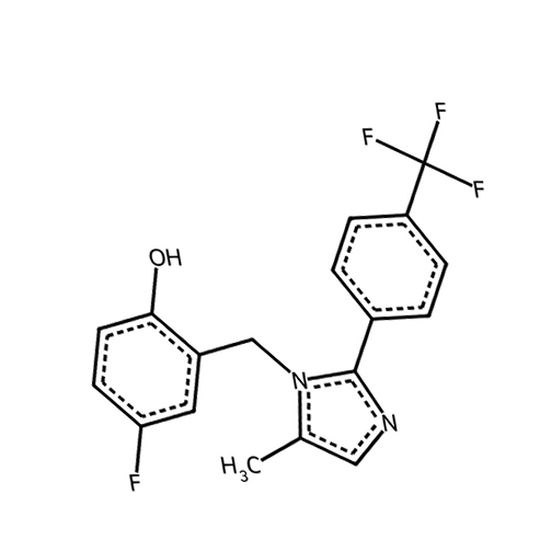 Cc1cnc(-c2ccc(C(F)(F)F)cc2)n1Cc1cc(F)ccc1O